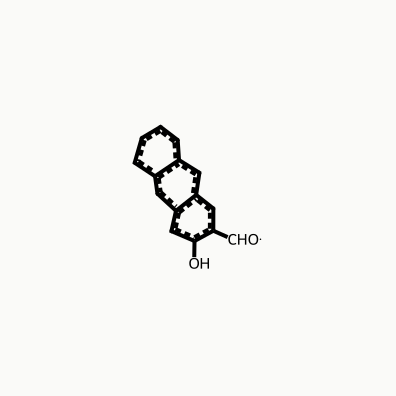 O=[C]c1cc2cc3ccccc3cc2cc1O